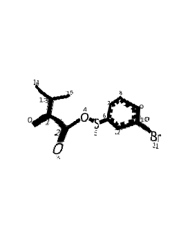 C=C(C(=O)OSc1cccc(Br)c1)C(C)C